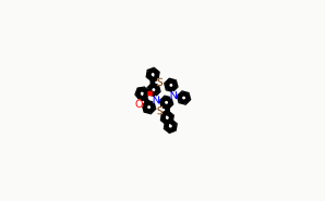 c1ccc(N(c2ccccc2)c2cc(N(c3ccc4c(c3)sc3ccccc34)c3cccc4oc5ccccc5c34)c3sc4cc5ccccc5cc4c3c2)cc1